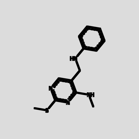 CNc1nc(SC)ncc1CNc1ccccc1